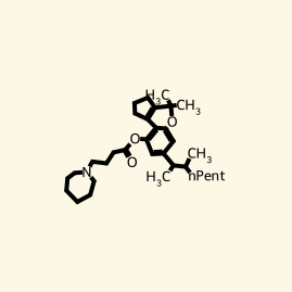 CCCCCC(C)C(C)c1cc(OC(=O)CCCN2CCCCCC2)c2c(c1)OC(C)(C)C1=C2CCC1